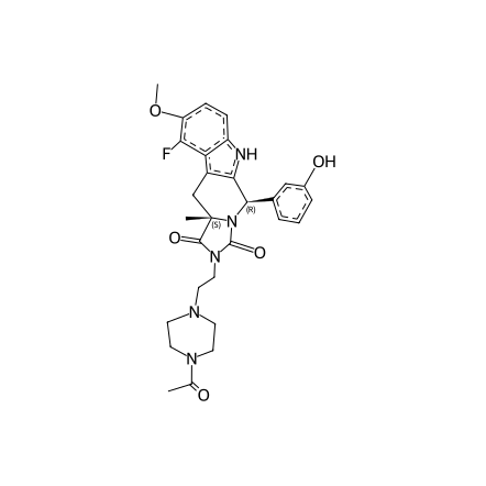 COc1ccc2[nH]c3c(c2c1F)C[C@@]1(C)C(=O)N(CCN2CCN(C(C)=O)CC2)C(=O)N1[C@@H]3c1cccc(O)c1